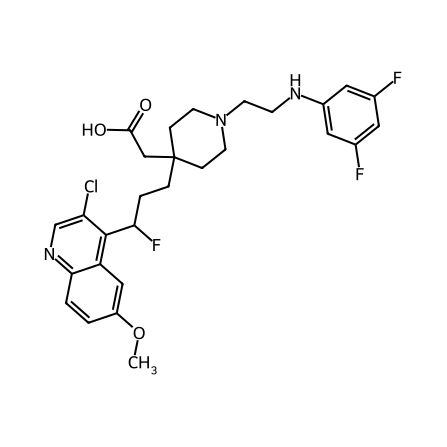 COc1ccc2ncc(Cl)c(C(F)CCC3(CC(=O)O)CCN(CCNc4cc(F)cc(F)c4)CC3)c2c1